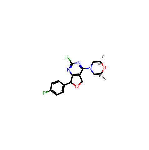 C[C@@H]1CN(c2nc(Cl)nc3c2COC3c2ccc(F)cc2)C[C@H](C)O1